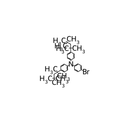 CC(C)(C)CC(C)(C)c1ccc(N(c2ccc(Br)cc2)c2ccc(C(C)(C)CC(C)(C)C)cc2)cc1